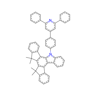 CC1(C)c2ccccc2-c2c1c1c(c3c2c2ccccc2n3-c2ccc(-c3cc(-c4ccccc4)nc(-c4ccccc4)c3)cc2)-c2ccccc2C1(C)C